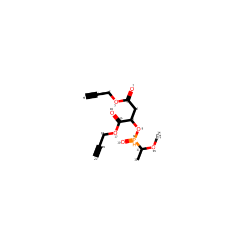 C#CCOC(=O)CC(O[PH](=O)C(C)OCC)C(=O)OCC#C